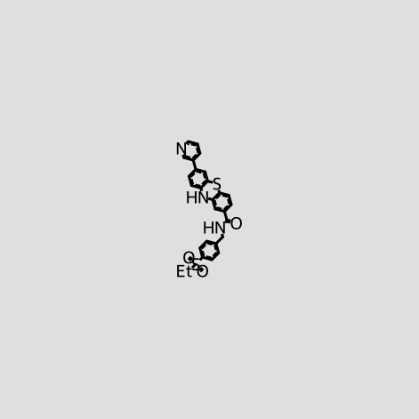 CCS(=O)(=O)c1ccc(CNC(=O)c2ccc3c(c2)Nc2ccc(-c4cccnc4)cc2S3)cc1